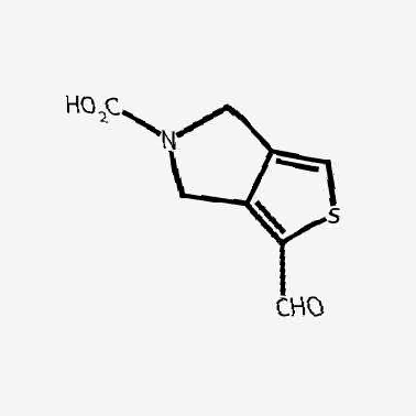 O=Cc1scc2c1CN(C(=O)O)C2